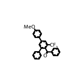 COc1ccc(-c2cc(-c3ccccc3)c(C(=O)c3ccccc3)c(C(F)(F)F)c2)cc1